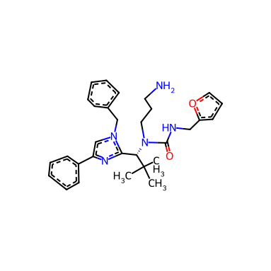 CC(C)(C)[C@H](c1nc(-c2ccccc2)cn1Cc1ccccc1)N(CCCN)C(=O)NCc1ccco1